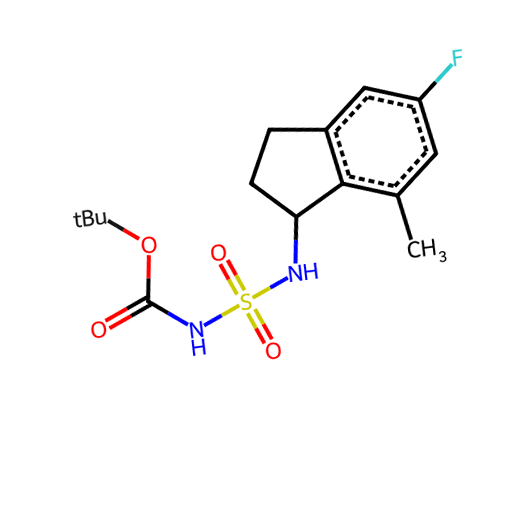 Cc1cc(F)cc2c1C(NS(=O)(=O)NC(=O)OC(C)(C)C)CC2